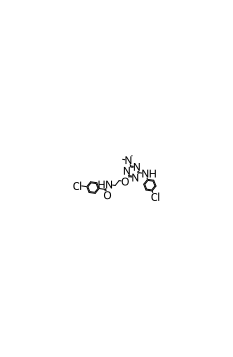 CN(C)c1nc(Nc2ccc(Cl)cc2)nc(OCCNC(=O)c2ccc(Cl)cc2)n1